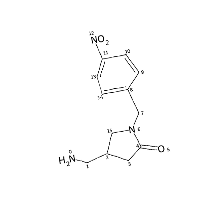 NCC1CC(=O)N(Cc2ccc([N+](=O)[O-])cc2)C1